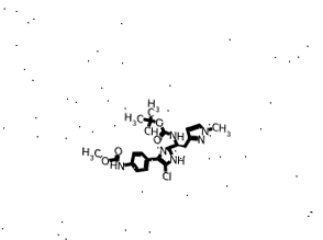 COC(=O)Nc1ccc(-c2nc([C@H](Cc3ccn(C)n3)NC(=O)OC(C)(C)C)[nH]c2Cl)cc1